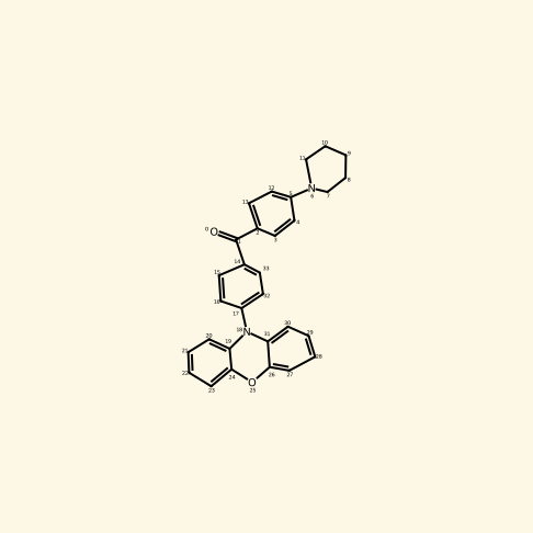 O=C(c1ccc(N2CCCCC2)cc1)c1ccc(N2c3ccccc3Oc3ccccc32)cc1